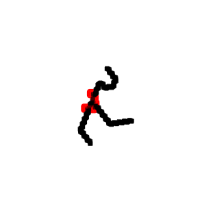 CCCCC/C=C\C/C=C\C/C=C\C/C=C\CCCC(=O)OC[C@@H](COC(=O)CCCCCCC/C=C\CCCCCC)OC(=O)CCCCCCC/C=C\CCCCCCCC